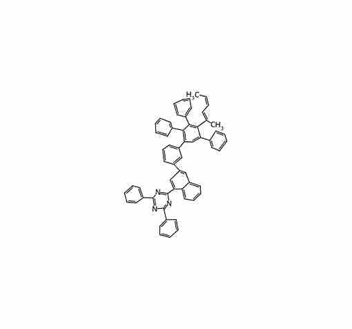 C/C=C\C=C(/C)c1c(-c2ccccc2)cc(-c2cccc(-c3cc(-c4nc(-c5ccccc5)nc(-c5ccccc5)n4)c4ccccc4c3)c2)c(-c2ccccc2)c1-c1ccccc1